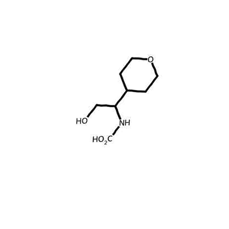 O=C(O)NC(CO)C1CCOCC1